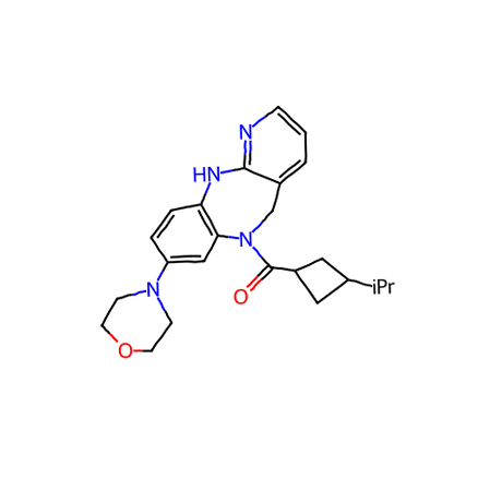 CC(C)C1CC(C(=O)N2Cc3cccnc3Nc3ccc(N4CCOCC4)cc32)C1